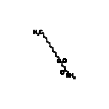 CCCCCCCCCCCCOC(=O)CCC(=O)CN